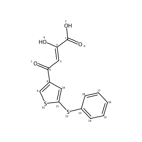 O=C(O)/C(O)=C/C(=O)c1csc(Sc2ccccc2)c1